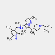 C=C1NC(C)=CC(C)=C1CNC(=C)c1c(C)c(C(C)C2CCN(CC(C)C)CC2)n2nc(C)ccc12